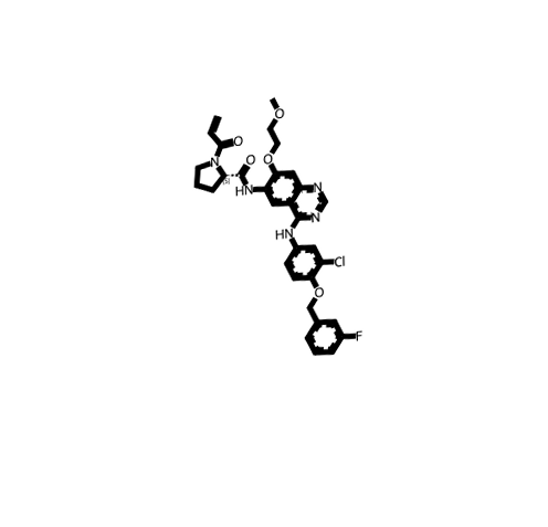 C=CC(=O)N1CCC[C@H]1C(=O)Nc1cc2c(Nc3ccc(OCc4cccc(F)c4)c(Cl)c3)ncnc2cc1OCCOC